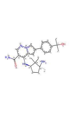 CC(C)(O)c1ccc(-c2cc3c(N[C@@H]4CC[C@](C)(N)C4(C)C)c(C(N)=O)cnn3c2)cc1